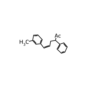 CC(=O)C(C/C=C\c1cccc(C)c1)c1ccccc1